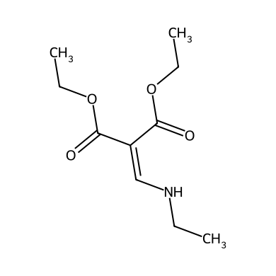 CCNC=C(C(=O)OCC)C(=O)OCC